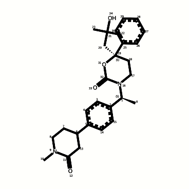 C[C@@H](c1ccc(C2CCN(C)C(=O)C2)cc1)N1CC[C@](CC(C)(C)O)(c2ccccc2)OC1=O